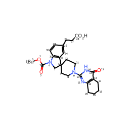 CC(C)(C)OC(=O)N1CC2(CCN(c3nc4c(c(=O)[nH]3)CCCC4)CC2)c2cc(CCC(=O)O)ccc21